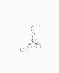 CC(=O)N1CC2(CC=C(c3nc(-c4ccc(Oc5ccccc5)cc4)n4c(N)nccc34)CC2)C1